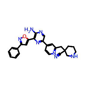 N#CC1(Cc2cc(-c3cnc(N)c(-c4cc(-c5ccccc5)no4)n3)ccn2)CCCNC1